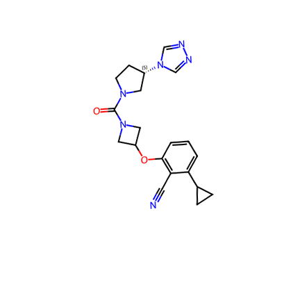 N#Cc1c(OC2CN(C(=O)N3CC[C@H](n4cnnc4)C3)C2)cccc1C1CC1